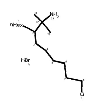 Br.CCCCCCC(CCCCCCCl)C(C)(C)N